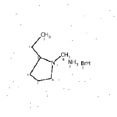 Br.CCC1CCCN1C.N